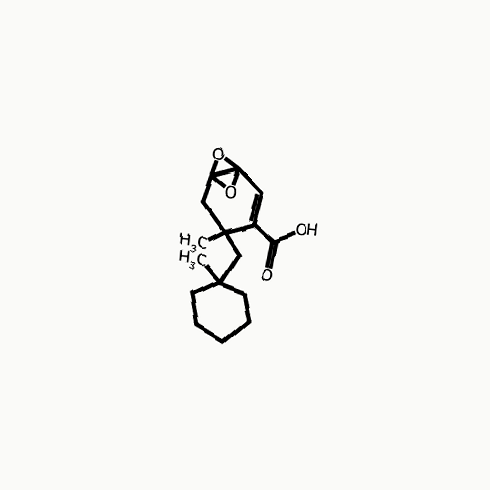 CC1(CC2(C)CC34OC3(C=C2C(=O)O)O4)CCCCC1